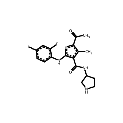 CC(=O)c1sc(Nc2ccc(I)cc2F)c(C(=O)NC2CCNC2)c1C